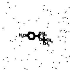 CC1CCC(C(=O)OC(C)(C)C)CC1